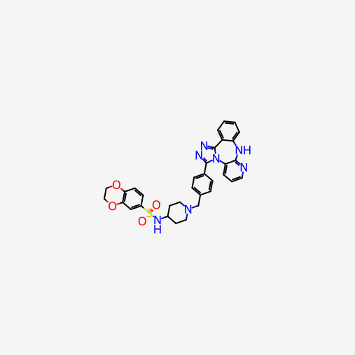 O=S(=O)(NC1CCN(Cc2ccc(-c3nnc4n3-c3cccnc3Nc3ccccc3-4)cc2)CC1)c1ccc2c(c1)OCCO2